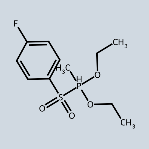 CCO[PH](C)(OCC)S(=O)(=O)c1ccc(F)cc1